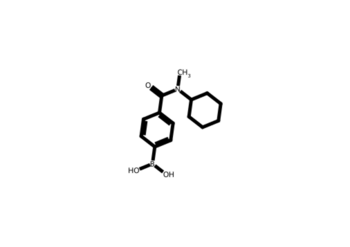 CN(C(=O)c1ccc(B(O)O)cc1)C1CCCCC1